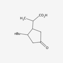 CCCCC1CC(=O)CC1C(C)C(=O)O